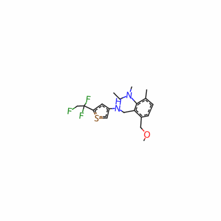 CCN(C)c1c(C)ccc(COC)c1CNc1csc(C(F)(F)CF)c1